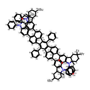 CCC1(C(C)C)CCC2(C)C(C1)c1cc(-c3ccc4c5c(-c6ccccc6)c6c7ccc(-c8ccc9c(c8)C8CC(C(C)(C)C)CCC8(C)N9c8ccccc8)c8c(-c9ccc%10c(c9)C9CC(C(C)(C)C)CCC9(C)N%10c9ccccc9)ccc(c6c(-c6ccccc6)c5c5ccc(-c6ccc9c(c6)C6CC(C(C)(C)C)CCC6(C)N9c6ccccc6)c3c54)c87)ccc1N2c1ccccc1